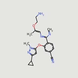 C=N/C(=N\C=C(/C)OCCN)c1ccc(C#N)cc1Oc1cc(C2CC2)nn1C